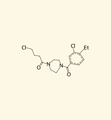 CCc1ccc(C(=O)N2CCN(C(=O)CCCCl)CC2)cc1Cl